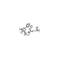 COc1cc(-c2c[nH]c(=O)c(NC3CCCN(C(=O)/C=C/CNC(C)C)C3)c2)ccn1